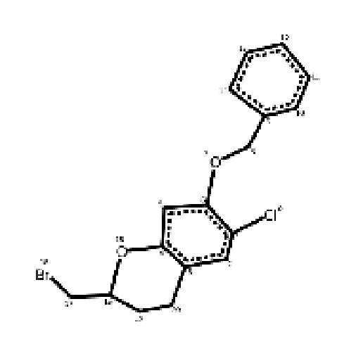 Clc1cc2c(cc1OCc1ccccc1)OC(CBr)CC2